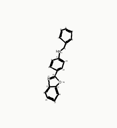 c1ccc(CNc2ccc(-c3nc4ccccc4o3)cc2)cc1